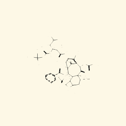 CC(=O)O[C@H]1C(=O)[C@@]2(C)[C@H]([C@H](OC(=O)c3ccccc3)[C@]3(O)C[C@H](OC(=O)[C@@H](O)[C@H](CC(C)C)NC(=O)OC(C)(C)C)C(C)=C1C3(C)C)[C@]1(OC(C)=O)CO[C@@H]1C[C@@H]2O